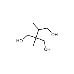 CC(CO)C(C)(CO)CO